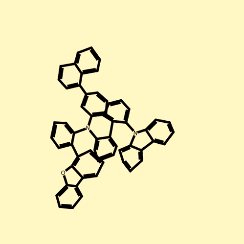 c1cc(-c2cccc3ccccc23)cc(N(c2ccccc2-c2ccccc2-n2c3ccccc3c3ccccc32)c2ccccc2-c2cccc3c2oc2ccccc23)c1